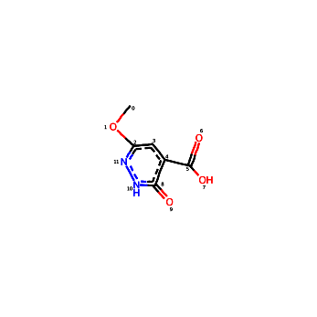 COc1cc(C(=O)O)c(=O)[nH]n1